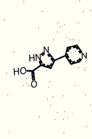 O=C(O)c1cc(-c2ccncc2)n[nH]1